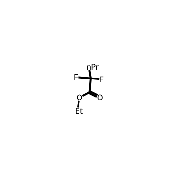 CCCC(F)(F)C(=O)OCC